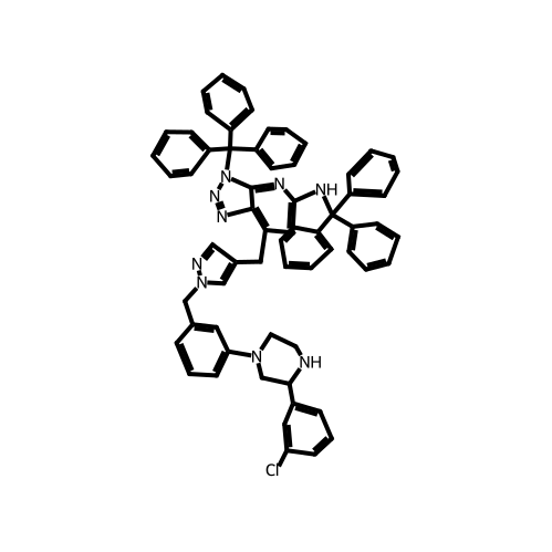 Clc1cccc(C2CN(c3cccc(Cn4cc(Cc5cc(NC(c6ccccc6)(c6ccccc6)c6ccccc6)nc6c5nnn6C(c5ccccc5)(c5ccccc5)c5ccccc5)cn4)c3)CCN2)c1